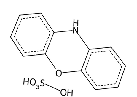 O=S(=O)(O)O.c1ccc2c(c1)Nc1ccccc1O2